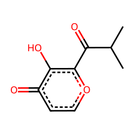 CC(C)C(=O)c1occc(=O)c1O